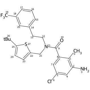 Cc1c(N)cc(Cl)cc1C(=O)N(CCc1cccc(C(F)(F)F)c1)Cc1ccc(C(C)(C)C)s1